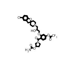 NC(=O)OC1CCN(C(=O)c2ccc(OC(=O)C(F)(F)F)cc2OC[C@@H](O)CN2CCC3(CC2)Cc2cc(Cl)ccc2O3)C1